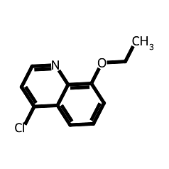 CCOc1cccc2c(Cl)ccnc12